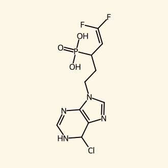 O=P(O)(O)C(C=C(F)F)CCn1cnc2c1N=CNC2Cl